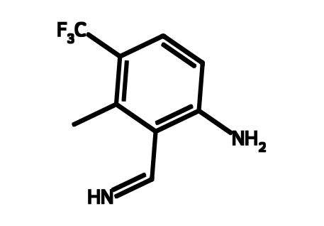 Cc1c(C(F)(F)F)ccc(N)c1C=N